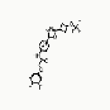 O=C(COc1ccc(F)c(F)c1)NC12CCC(c3nnc(C4CC(OC(F)(F)F)C4)o3)(CC1)OC2